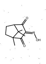 CC12CCC(C(=O)C(=NO)C1=O)C2(C)C